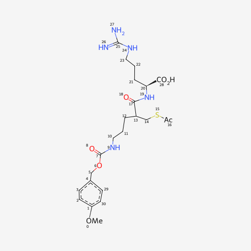 COc1ccc(COC(=O)NCCCC(CSC(C)=O)C(=O)N[C@@H](CCCNC(=N)N)C(=O)O)cc1